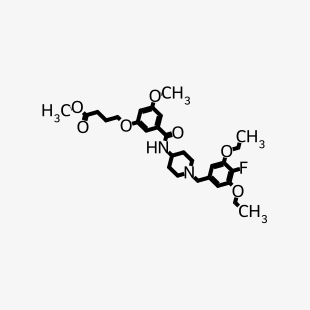 CCOc1cc(CN2CCC(NC(=O)c3cc(OC)cc(OCCCC(=O)OC)c3)CC2)cc(OCC)c1F